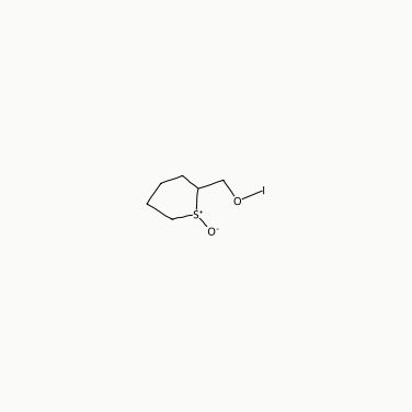 [O-][S+]1CCCCC1COI